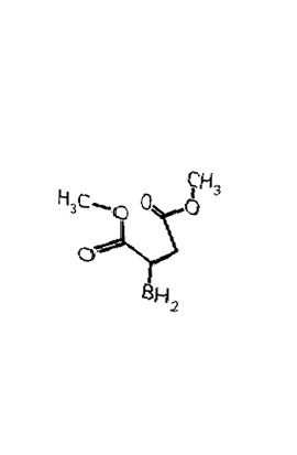 BC(CC(=O)OC)C(=O)OC